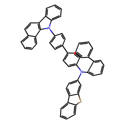 c1ccc(-c2ccccc2N(c2ccc(-c3ccc(-n4c5ccccc5c5ccc6ccccc6c54)cc3)cc2)c2ccc3c(c2)sc2ccccc23)cc1